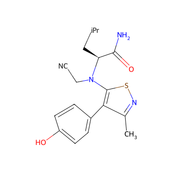 Cc1nsc(N(CC#N)[C@@H](CC(C)C)C(N)=O)c1-c1ccc(O)cc1